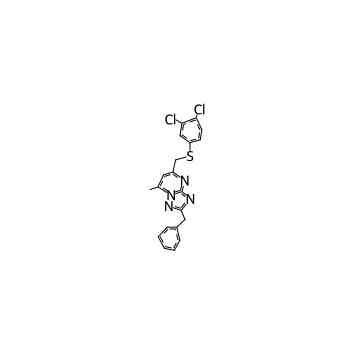 Cc1cc(CSc2ccc(Cl)c(Cl)c2)nc2nc(Cc3ccccc3)nn12